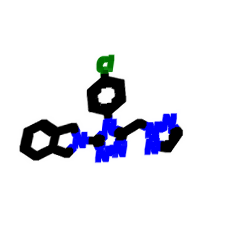 Clc1ccc(-n2c(Cn3nccn3)nnc2N2CC3=CC=CCC3C2)cc1